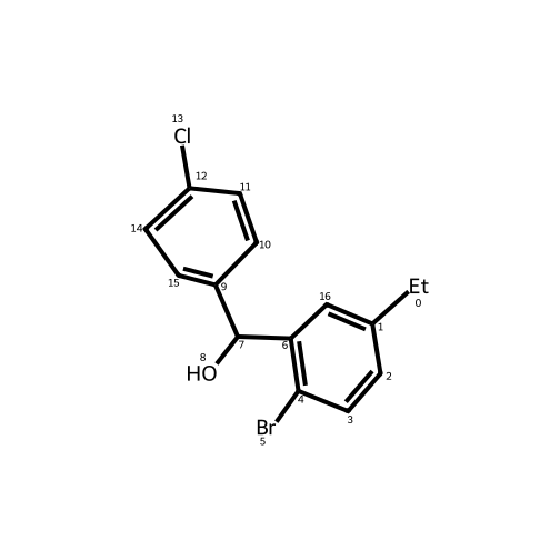 CCc1ccc(Br)c(C(O)c2ccc(Cl)cc2)c1